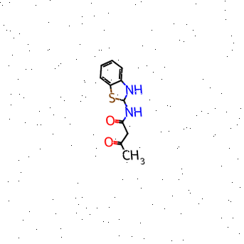 CC(=O)CC(=O)NC1Nc2ccccc2S1